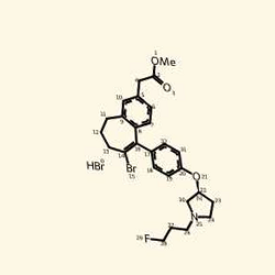 Br.COC(=O)Cc1ccc2c(c1)CCCC(Br)=C2c1ccc(O[C@H]2CCN(CCCF)C2)cc1